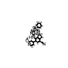 COc1cc(-c2cc(C#N)c3c(c2Nc2nnc(S(=O)(=O)c4ccccc4)[nH]2)CCC3)ccn1